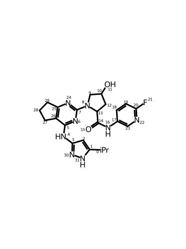 CC(C)c1cc(Nc2nc(N3CC(O)CC3C(=O)Nc3ccc(F)nc3)nc3c2CCC3)n[nH]1